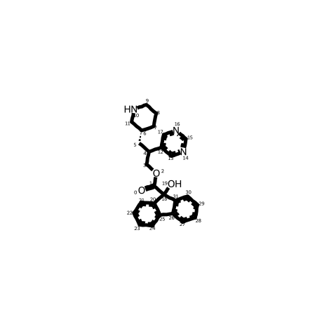 O=C(OCC(C[C@H]1CCCNC1)c1cncnc1)C1(O)c2ccccc2-c2ccccc21